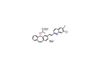 CC(O[C@H]1c2ccccc2C=Cc2ccc(/C=C/c3ccc4cc(F)c(Cl)cc4n3)cc21)C(=O)[O-].[Na+]